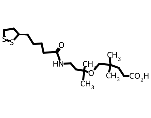 CC(C)(CCC(=O)O)COC(C)(C)CCNC(=O)CCCC[C@@H]1CCSS1